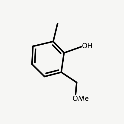 COCc1cccc(C)c1O